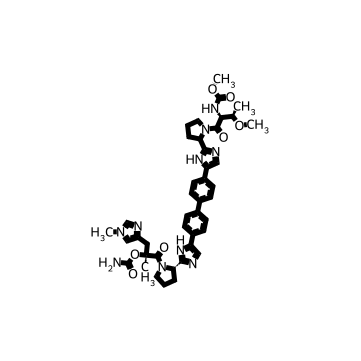 COC(=O)N[C@H](C(=O)N1CCCC1c1ncc(-c2ccc(-c3ccc(-c4cnc([C@@H]5CCCN5C(=O)[C@](C)(Cc5cn(C)cn5)OC(N)=O)[nH]4)cc3)cc2)[nH]1)[C@@H](C)OC